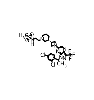 CC(c1ccc(Cl)cc1Cl)n1nc(C(F)(F)F)c2ncc(N3CC([C@H]4CCCN(CCNS(C)(=O)=O)C4)C3)nc21